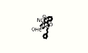 N#Cc1c(N2CCN(C=O)CC2)c(C(=O)OCCCc2ccccc2)c2ccccn2c1=O